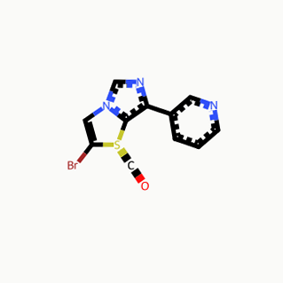 O=C=S1C(Br)=Cn2cnc(-c3cccnc3)c21